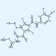 CC[C@@H](CO)NC(=O)C(=O)c1c(C)c(C(=O)Nc2ccc(F)c(C)c2)c(C)n1CCF